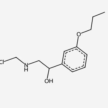 CCCOc1cccc(C(O)CNCCl)c1